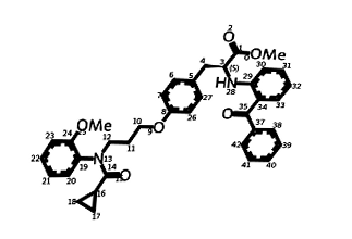 COC(=O)[C@H](Cc1ccc(OCCCN(C(=O)C2CC2)c2ccccc2OC)cc1)Nc1ccccc1C(=O)c1ccccc1